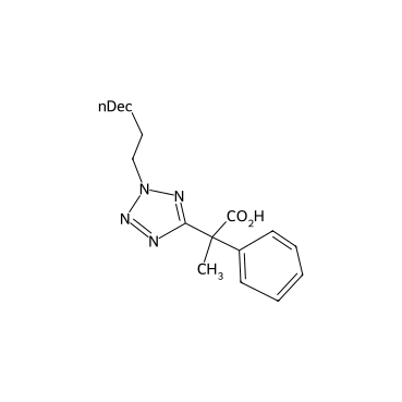 CCCCCCCCCCCCn1nnc(C(C)(C(=O)O)c2ccccc2)n1